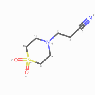 N#CCCN1CCS(=O)(=O)CC1